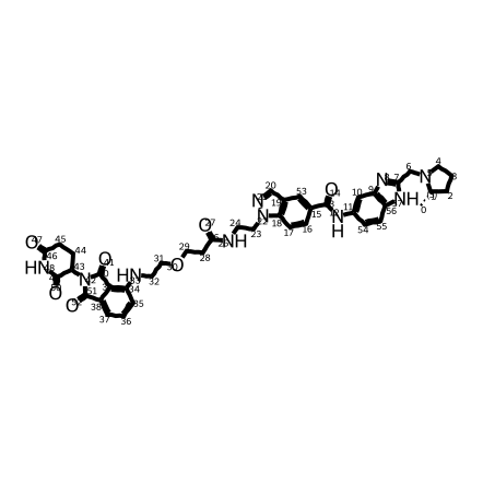 C[C@H]1CCCN1Cc1nc2cc(NC(=O)c3ccc4c(cnn4CCNC(=O)CCOCCNc4cccc5c4C(=O)N(C4CCC(=O)NC4=O)C5=O)c3)ccc2[nH]1